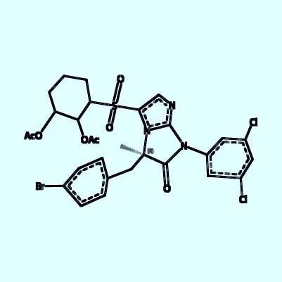 CC(=O)OC1CCCC(S(=O)(=O)c2cnc3n2[C@](C)(Cc2ccc(Br)cc2)C(=O)N3c2cc(Cl)cc(Cl)c2)C1OC(C)=O